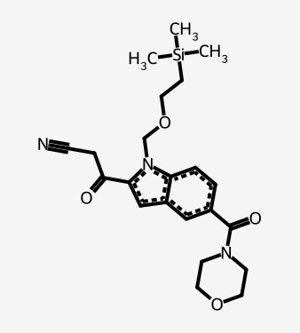 C[Si](C)(C)CCOCn1c(C(=O)CC#N)cc2cc(C(=O)N3CCOCC3)ccc21